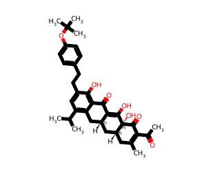 CC(=O)C1=C(C)C[C@H]2C[C@H]3Cc4c(C(C)C)cc(CCc5ccc(OC(C)(C)C)cc5)c(O)c4C(=O)C3=C(O)[C@@]2(O)C1=O